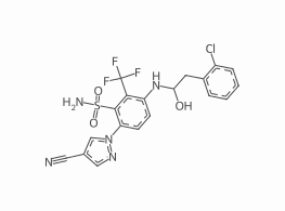 N#Cc1cnn(-c2ccc(NC(O)Cc3ccccc3Cl)c(C(F)(F)F)c2S(N)(=O)=O)c1